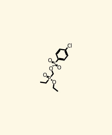 CCOP(=O)(CC)COS(=O)(=O)c1ccc(Cl)cc1